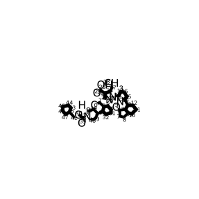 CCc1cc(O[C@H]2CCc3cccc(-c4cccc(-n5ncc(C(=O)O)c5CC)n4)c32)ccc1C1CCN(C(=O)OCc2ccccc2)CC1